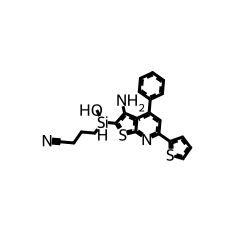 N#CCCC[SiH](O)c1sc2nc(-c3cccs3)cc(-c3ccccc3)c2c1N